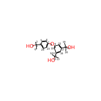 CC(C)(O)c1ccc(Oc2cc(C(C)(C)O)cc(C(C)(C)O)c2)cc1